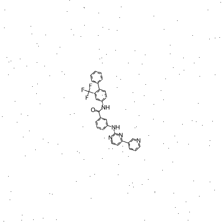 O=C(Nc1ccc(-c2ccccc2)c(C(F)(F)F)c1)c1cccc(Nc2nccc(-c3cccnc3)n2)c1